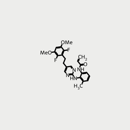 C=CC(=O)Nc1cccc(C)c1Nc1ncc(CCc2c(F)c(OC)cc(OC)c2F)cn1